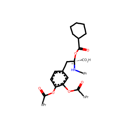 CCCC(=O)Oc1ccc(C[C@](NC(C)C)(OC(=O)C2CCCCC2)C(=O)O)cc1OC(=O)CCC